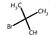 [CH]C(C)(C)Br